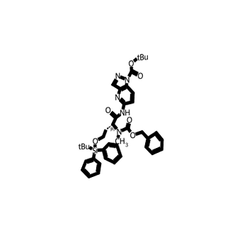 CN(C(=O)OCc1ccccc1)[C@H](CCO[Si](c1ccccc1)(c1ccccc1)C(C)(C)C)C(=O)Nc1ccc2c(cnn2C(=O)OC(C)(C)C)n1